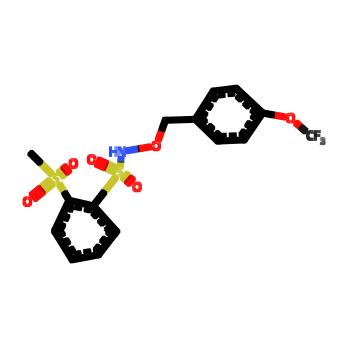 CS(=O)(=O)c1ccccc1S(=O)(=O)NOCc1ccc(OC(F)(F)F)cc1